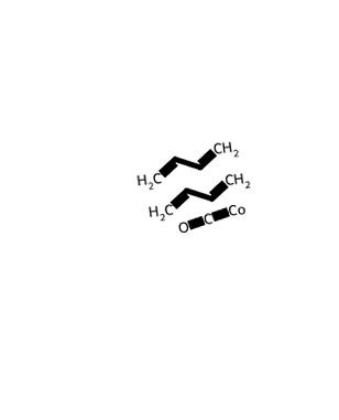 C=CC=C.C=CC=C.O=[C]=[Co]